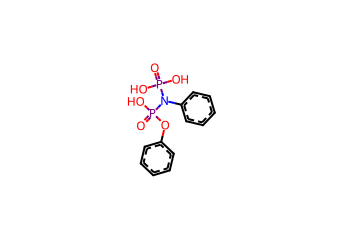 O=P(O)(O)N(c1ccccc1)P(=O)(O)Oc1ccccc1